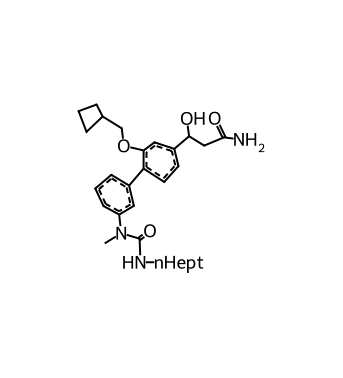 CCCCCCCNC(=O)N(C)c1cccc(-c2ccc(C(O)CC(N)=O)cc2OCC2CCC2)c1